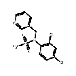 CS(=O)(=O)N(Cc1cccnc1)c1ccc(Cl)cc1Cl